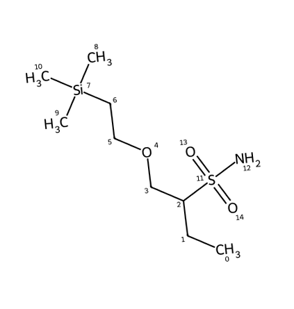 CCC(COCC[Si](C)(C)C)S(N)(=O)=O